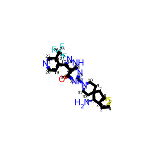 N[C@@H]1c2ccsc2CC12CCN(c1nc3[nH]nc(-c4ccncc4C(F)(F)F)c3c(=O)[nH]1)CC2